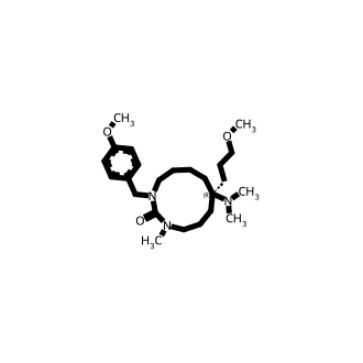 COCCC[C@@]1(N(C)C)CCCCN(Cc2ccc(OC)cc2)C(=O)N(C)CCC1